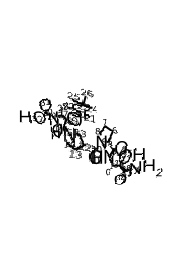 C[C@H](NC(=O)[C@@H]1CCCN1C(=O)[C@@H]1CCN(C(=O)[C@H](O[Si](C)(C)C(C)(C)C)[C@H](C)NC(=O)O)C1)[C@@H](O)C(N)=O